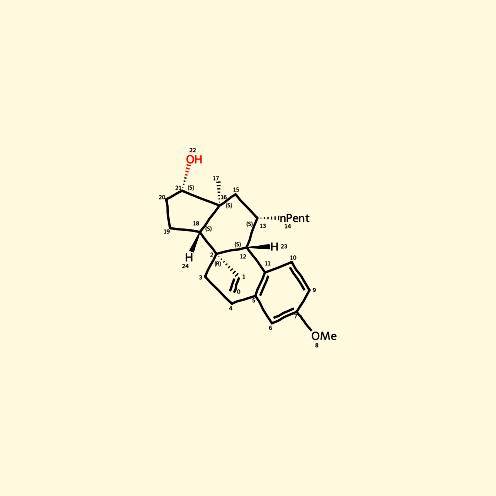 C=C[C@@]12CCc3cc(OC)ccc3[C@H]1[C@@H](CCCCC)C[C@@]1(C)[C@H]2CC[C@@H]1O